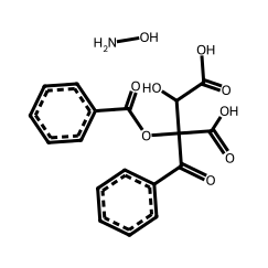 NO.O=C(OC(C(=O)O)(C(=O)c1ccccc1)C(O)C(=O)O)c1ccccc1